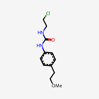 COCCc1ccc(NC(=O)NCCCl)cc1